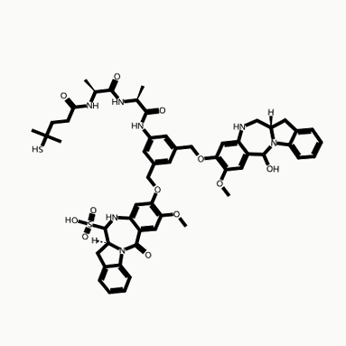 COc1cc2c(cc1OCc1cc(COc3cc4c(cc3OC)C(O)N3c5ccccc5C[C@H]3CN4)cc(NC(=O)[C@H](C)NC(=O)[C@H](C)NC(=O)CCC(C)(C)S)c1)NC(S(=O)(=O)O)[C@@H]1Cc3ccccc3N1C2=O